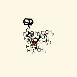 CC(C)(C)OC(=O)C(C)(CN(S(C)(=O)=O)S(=O)(=O)C(F)(F)C(=O)OCC12CC3CC(CC(C3)C1)C2)C(=O)OC(C)(C)C